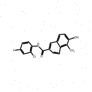 Cc1c(O)ccc2cc(C(=O)Nc3ccc(F)cc3Cl)ccc12